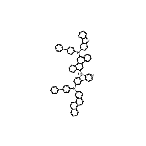 c1ccc(-c2ccc(N(c3ccc4c(c3)-c3ccncc3[SH]4c3cc4c5ccccc5c(N(c5ccc(-c6ccccc6)cc5)c5ccc6sc7cccnc7c6c5)cc4c4ccccc34)c3ccc4ccc5c6ccccc6ccc5c4c3)cc2)cc1